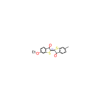 CCOc1ccc2c(c1)S/C(=C1/Sc3cc(C)ccc3C1=O)C2=O